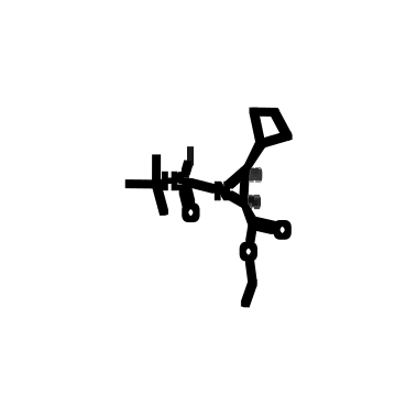 CCOC(=O)[C@@H]1[C@H](C2CCC2)N1[SH](=O)(I)C(C)(C)C